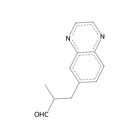 CC(C=O)Cc1ccc2nccnc2c1